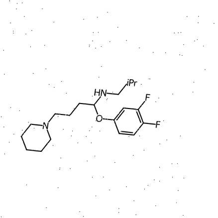 CC(C)CNC(CCCN1CCCCC1)Oc1ccc(F)c(F)c1